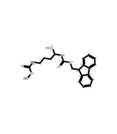 CCCCOC(=O)NCCCC(NC(=O)OCC1c2ccccc2-c2ccccc21)C(=O)O